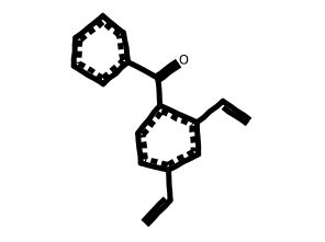 C=Cc1ccc(C(=O)c2ccccc2)c(C=C)c1